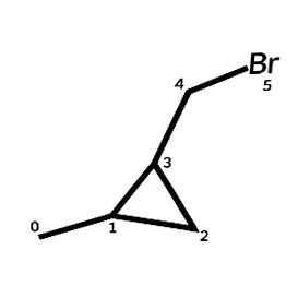 CC1CC1CBr